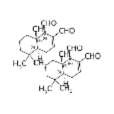 CC1(C)CCC[C@]2(C)[C@@H](C=O)C(C=O)=CC[C@@H]12.CC1(C)CCC[C@]2(C)[C@@H](C=O)C(C=O)=CC[C@@H]12